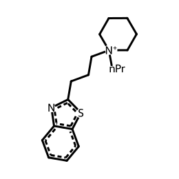 CCC[N+]1(CCCc2nc3ccccc3s2)CCCCC1